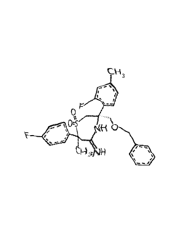 Cc1ccc([C@]2(COCc3ccccc3)CS(=O)(=O)C(C)(c3ccc(F)cc3)C(=N)N2)c(F)c1